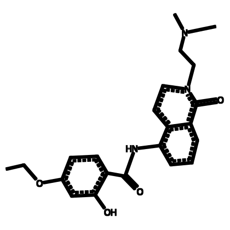 CCOc1ccc(C(=O)Nc2cccc3c(=O)n(CCN(C)C)ccc23)c(O)c1